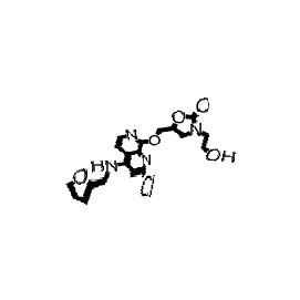 O=C1OC(COc2nccc3c(NCc4ccco4)cc(Cl)nc23)CN1CCO